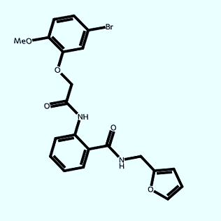 COc1ccc(Br)cc1OCC(=O)Nc1ccccc1C(=O)NCc1ccco1